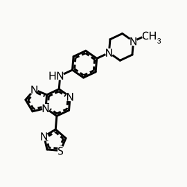 CN1CCN(c2ccc(Nc3ncc(-c4cscn4)n4ccnc34)cc2)CC1